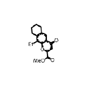 CCc1c2c(cc3c(=O)cc(C(=O)OC)oc13)CCCC2